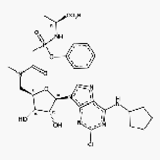 C[C@H](NP(=O)(CC(=O)N(C)C[C@H]1O[C@@H](n2cnc3c(NC4CCCC4)nc(Cl)nc32)[C@H](O)[C@@H]1O)Oc1ccccc1)C(=O)O